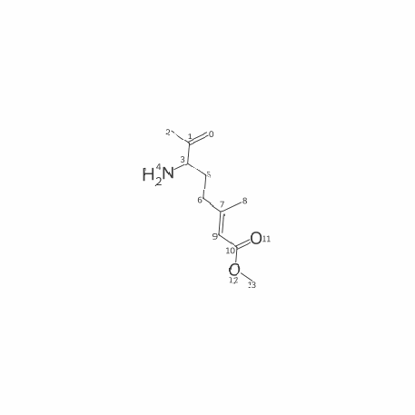 C=C(C)C(N)CC/C(C)=C/C(=O)OC